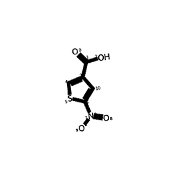 O=C(O)c1csc([N+](=O)[O-])c1